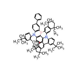 Cc1cc2c3c(c1)N(c1ccc(C(C)(C)C)cc1-c1ccc4c(c1)C(C)(C)CC4(C)C)c1cc4c(cc1B3c1cc(-c3ccccc3)ccc1N2c1ccc(C(C)(C)C)cc1C)C(C)(C)CCC4(C)C